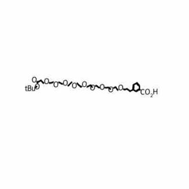 CC(C)(C)OC(=O)CCOCCOCCOCCOCCOCCOCCOCCOCCOCCCc1cccc(C(=O)O)c1